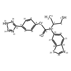 CC(CS)N(C(=O)Oc1ccc(-c2nn[nH]n2)cc1)c1ccc2ncsc2c1